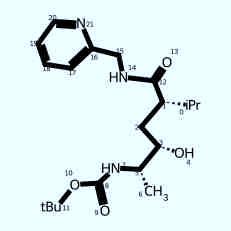 CC(C)[C@H](C[C@H](O)[C@H](C)NC(=O)OC(C)(C)C)C(=O)NCc1ccccn1